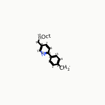 [CH2]c1ccc(-c2ccc(CCCCCCCCC)cn2)cc1